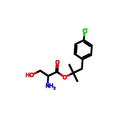 CC(C)(Cc1ccc(Cl)cc1)OC(=O)C(N)CO